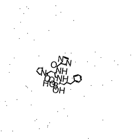 O=C(N[C@H](CC(=O)N1CCCC1)C(=O)N[C@@H](CCCc1ccccc1)B(O)O)c1cnccn1